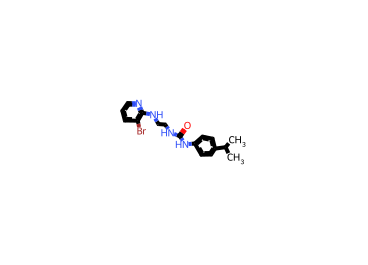 CC(C)c1ccc(NC(=O)NCCNc2ncccc2Br)cc1